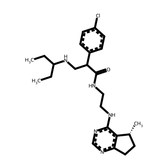 CCC(CC)NCC(C(=O)NCCNc1ncnc2c1[C@H](C)CC2)c1ccc(Cl)cc1